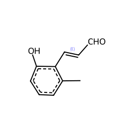 Cc1cccc(O)c1/C=C/C=O